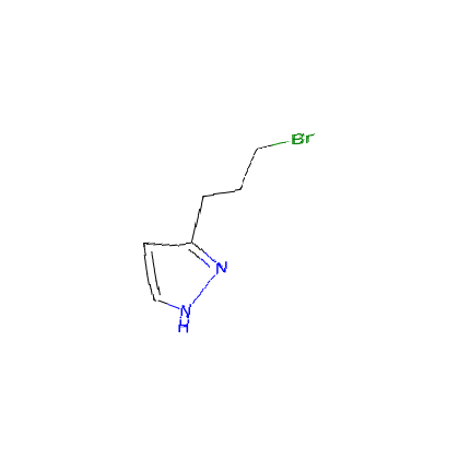 BrCCCc1cc[nH]n1